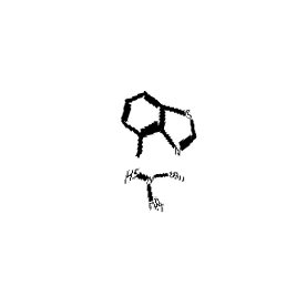 CCCN(S)C(C)(C)C.Cc1cccc2scnc12